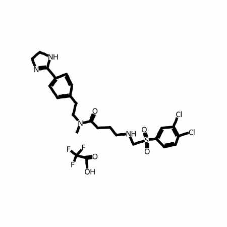 CN(CCc1ccc(C2=NCCN2)cc1)C(=O)CCCNCS(=O)(=O)c1ccc(Cl)c(Cl)c1.O=C(O)C(F)(F)F